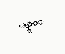 CC(C)(C)[Si](C)(C)n1cc(-c2cscn2)c2cc(C3CCC(N4CCOCC4)CC3)cnc21